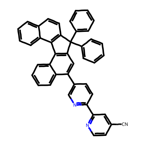 N#Cc1ccnc(-c2ccc(-c3cc4c(c5ccccc35)-c3c(ccc5ccccc35)C4(c3ccccc3)c3ccccc3)cn2)c1